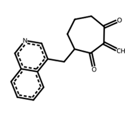 C=C1C(=O)CCCC(Cc2cncc3ccccc23)C1=O